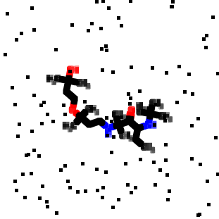 CCC(NC(C)(C)C)C(=O)C(C)(C)NCCC(C)(C)OCCC(C)(C)O